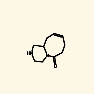 O=C1CCC=CCC2CNCCN12